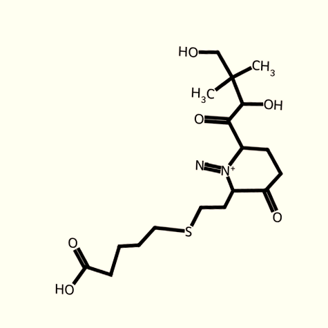 CC(C)(CO)C(O)C(=O)C1CCC(=O)C(CCSCCCCC(=O)O)[N+]1=[N-]